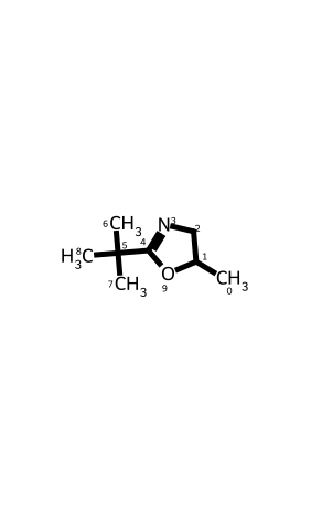 CC1CN=C(C(C)(C)C)O1